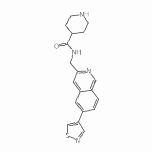 O=C(NCc1cc2cc(-c3cnsc3)ccc2cn1)C1CCNCC1